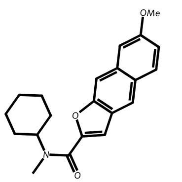 COc1ccc2cc3cc(C(=O)N(C)C4CCCCC4)oc3cc2c1